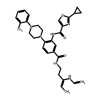 C=CN/C(=C\C)CCNC(=O)c1ccc(N2CCN(c3ccccc3C)CC2)c(NC(=O)c2coc(C3CC3)n2)c1